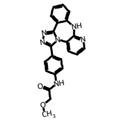 COCC(=O)Nc1ccc(-c2nnc3n2-c2cccnc2Nc2ccccc2-3)cc1